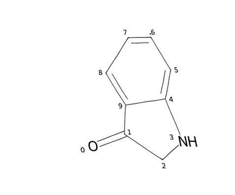 O=C1CNc2c[c]ccc21